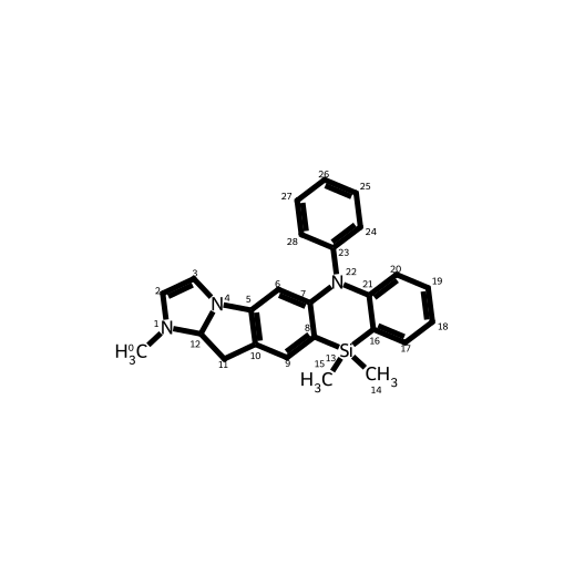 CN1C=CN2c3cc4c(cc3CC12)[Si](C)(C)c1ccccc1N4c1ccccc1